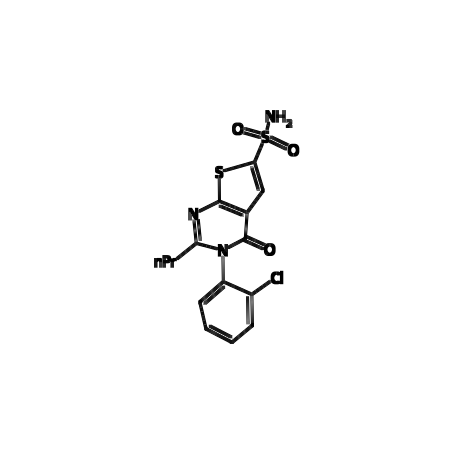 CCCc1nc2sc(S(N)(=O)=O)cc2c(=O)n1-c1ccccc1Cl